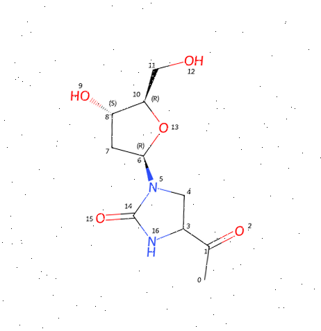 CC(=O)C1CN([C@H]2C[C@H](O)[C@@H](CO)O2)C(=O)N1